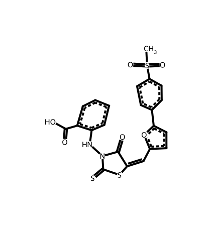 CS(=O)(=O)c1ccc(-c2ccc(C=C3SC(=S)N(Nc4ccccc4C(=O)O)C3=O)o2)cc1